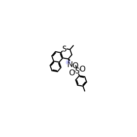 Cc1ccc(S(=O)(=O)O/N=C2\CC(C)Sc3ccc4ccccc4c32)cc1